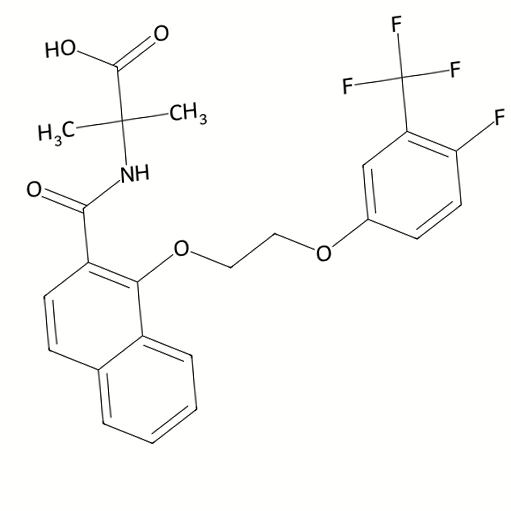 CC(C)(NC(=O)c1ccc2ccccc2c1OCCOc1ccc(F)c(C(F)(F)F)c1)C(=O)O